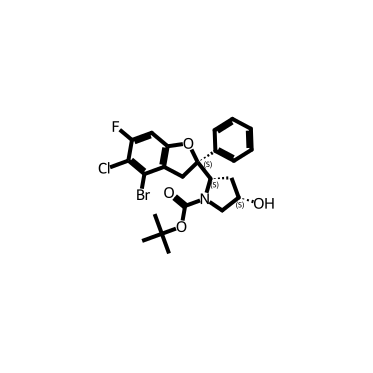 CC(C)(C)OC(=O)N1C[C@@H](O)C[C@H]1[C@@]1(c2ccccc2)Cc2c(cc(F)c(Cl)c2Br)O1